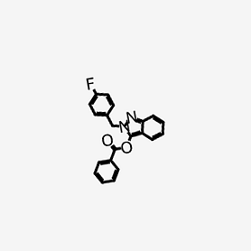 O=C(Oc1c2ccccc2nn1Cc1ccc(F)cc1)c1ccccc1